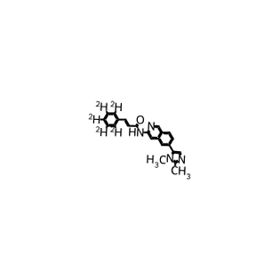 [2H]c1c([2H])c([2H])c(/C=C/C(=O)Nc2cc3cc(-c4cnc(C)n4C)ccc3cn2)c([2H])c1[2H]